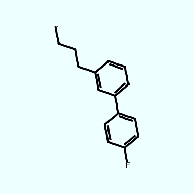 [CH2]CCCc1cccc(-c2ccc(F)cc2)c1